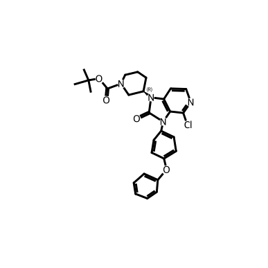 CC(C)(C)OC(=O)N1CCC[C@@H](n2c(=O)n(-c3ccc(Oc4ccccc4)cc3)c3c(Cl)nccc32)C1